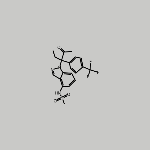 CCC(C(C)=O)(c1ccc(C(F)(F)F)cc1)n1ncc2c(NS(C)(=O)=O)cccc21